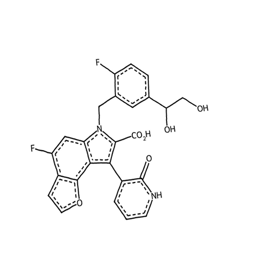 O=C(O)c1c(-c2ccc[nH]c2=O)c2c3occc3c(F)cc2n1Cc1cc(C(O)CO)ccc1F